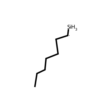 CCCCCC[CH][SiH3]